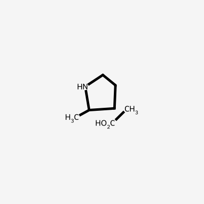 CC(=O)O.CC1CCCN1